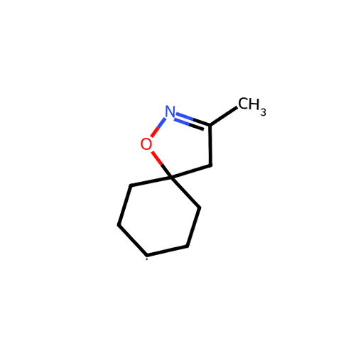 CC1=NOC2(CC[CH]CC2)C1